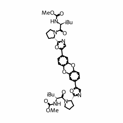 CC[C@H](C)[C@H](NC(=O)OC)C(=O)N1CCC[C@H]1c1ncc(-c2ccc3c(c2)Oc2ccc(-c4cnc([C@@H]5CCCN5C(=O)[C@@H](NC(=O)OC)[C@@H](C)CC)o4)cc2O3)o1